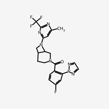 Cc1cc(N2CC3CCN(C(=O)c4ccc(F)cc4-n4nccn4)CC32)nc(C(F)(F)F)n1